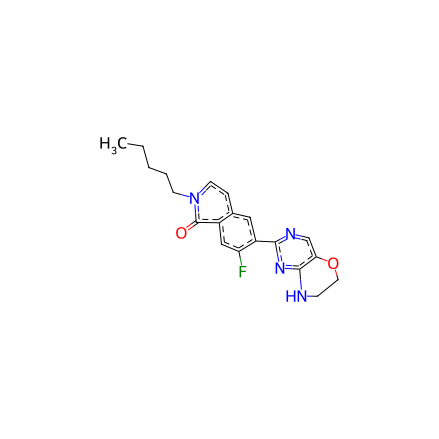 CCCCCn1ccc2cc(-c3ncc4c(n3)NCCO4)c(F)cc2c1=O